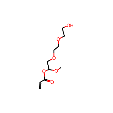 C=CC(=O)OC(COCCOCCO)OC